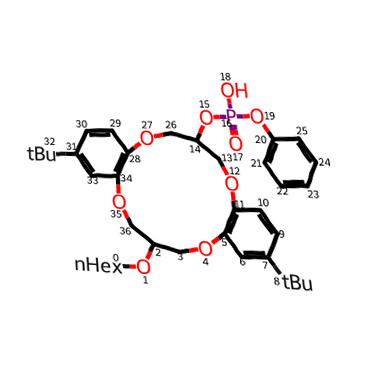 CCCCCCOC1COc2cc(C(C)(C)C)ccc2OCC(OP(=O)(O)Oc2ccccc2)COc2ccc(C(C)(C)C)cc2OC1